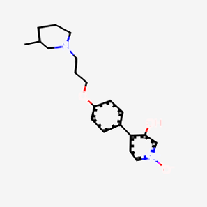 CC1CCCN(CCCOc2ccc(-c3cc[n+]([O-])cc3O)cc2)C1